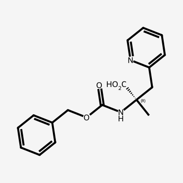 C[C@](Cc1ccccn1)(NC(=O)OCc1ccccc1)C(=O)O